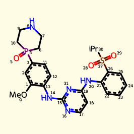 COc1cc(P2(=O)CCNCC2)ccc1Nc1nccc(Nc2ccccc2S(=O)(=O)C(C)C)n1